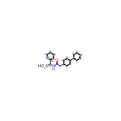 O=C(Cc1ccc(-c2ccccc2)cc1)NC(C(=O)O)c1ccccn1